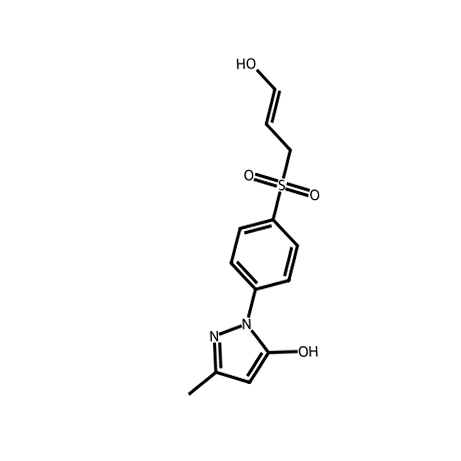 Cc1cc(O)n(-c2ccc(S(=O)(=O)CC=CO)cc2)n1